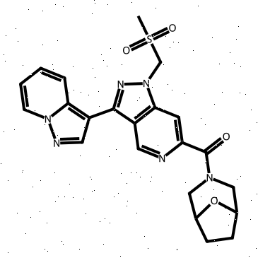 CS(=O)(=O)Cn1nc(-c2cnn3ccccc23)c2cnc(C(=O)N3CC4CCC(C3)O4)cc21